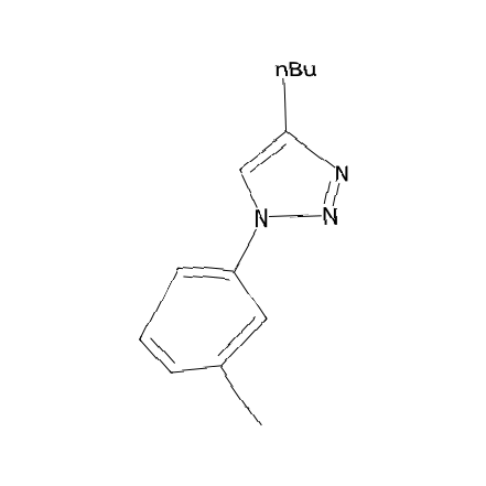 CCCCc1cn(-c2cccc(C)c2)nn1